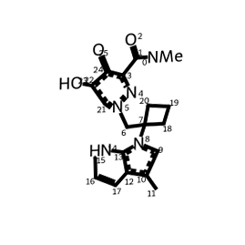 CNC(=O)c1nn(CC2(n3cc(C)c4c3NCC=C4)CCC2)cc(O)c1=O